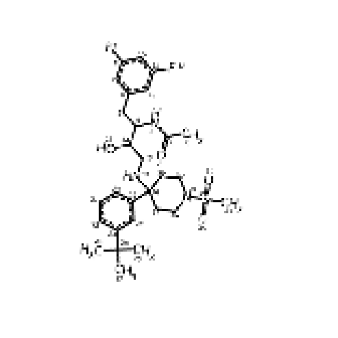 CC(=O)NC(Cc1cc(F)cc(F)c1)C(O)CNC1(c2cccc(C(C)(C)C)c2)CCN(S(C)(=O)=O)CC1